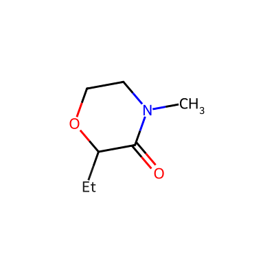 CCC1OCCN(C)C1=O